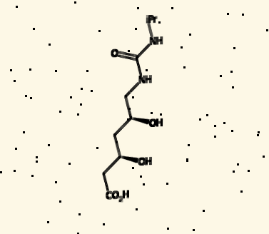 CC(C)NC(=O)NC[C@@H](O)C[C@@H](O)CC(=O)O